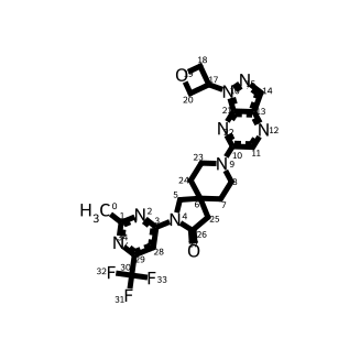 Cc1nc(N2CC3(CCN(c4cnc5cnn(C6COC6)c5n4)CC3)CC2=O)cc(C(F)(F)F)n1